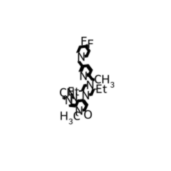 CC[C@H]1CN(C(C)c2ccc(CN3CCC(F)(F)CC3)cn2)[C@H](CC)CN1c1cc(=O)n(C)c2cn(CC#N)nc12